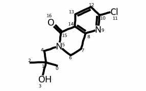 CC(C)(O)CN1CCc2nc(Cl)ccc2C1=O